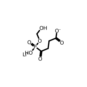 O=C([O-])CCC(=O)P(=O)(O)OCO.[Li+]